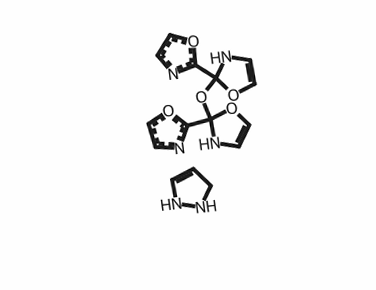 C1=CNNC1.C1=COC(OC2(c3ncco3)NC=CO2)(c2ncco2)N1